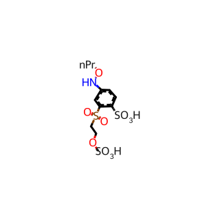 CCCONc1ccc(S(=O)(=O)O)c(S(=O)(=O)CCOS(=O)(=O)O)c1